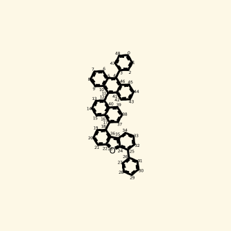 c1ccc(-c2c3ccccc3c(-c3cccc4c(-c5cccc6oc7c(-c8ccccc8)cccc7c56)cccc34)c3ccccc23)cc1